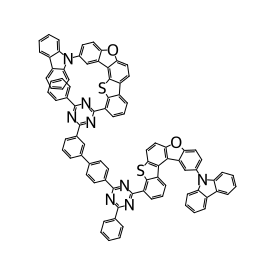 c1ccc(-c2nc(-c3cccc(-c4ccc(-c5nc(-c6ccccc6)nc(-c6cccc7c6sc6ccc8oc9ccc(-n%10c%11ccccc%11c%11ccccc%11%10)cc9c8c67)n5)cc4)c3)nc(-c3cccc4c3sc3c4ccc4oc5ccc(-n6c7ccccc7c7ccccc76)cc5c43)n2)cc1